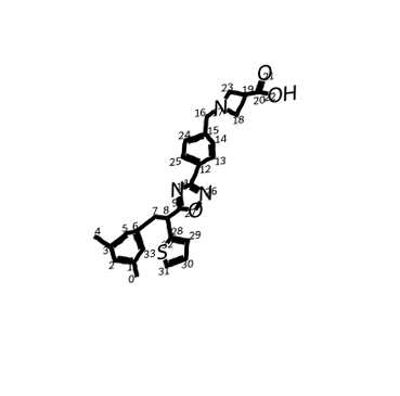 Cc1cc(C)cc(CC(c2nc(-c3ccc(CN4CC(C(=O)O)C4)cc3)no2)c2cccs2)c1